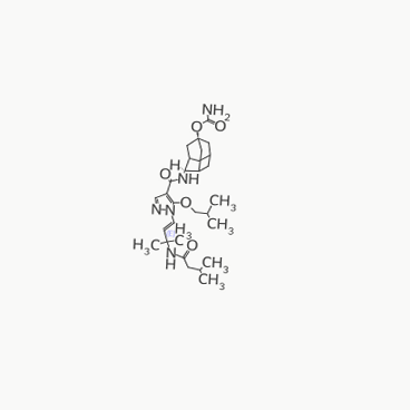 CC(C)COc1c(C(=O)N[C@H]2C3CC4CC2C[C@@](OC(N)=O)(C4)C3)cnn1/C=C/C(C)(C)NC(=O)CC(C)C